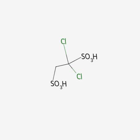 O=S(=O)(O)CC(Cl)(Cl)S(=O)(=O)O